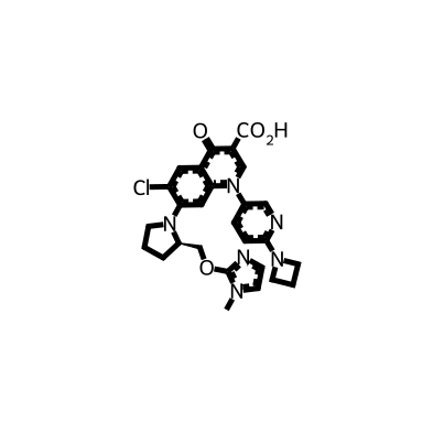 Cn1ccnc1OC[C@H]1CCCN1c1cc2c(cc1Cl)c(=O)c(C(=O)O)cn2-c1ccc(N2CCC2)nc1